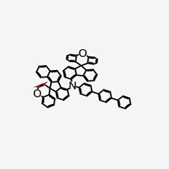 c1ccc(-c2ccc(-c3ccc(N(c4cccc5c4-c4ccccc4C54c5ccccc5Oc5ccccc54)c4cccc5c4-c4ccc6ccccc6c4C54c5ccccc5Oc5ccccc54)cc3)cc2)cc1